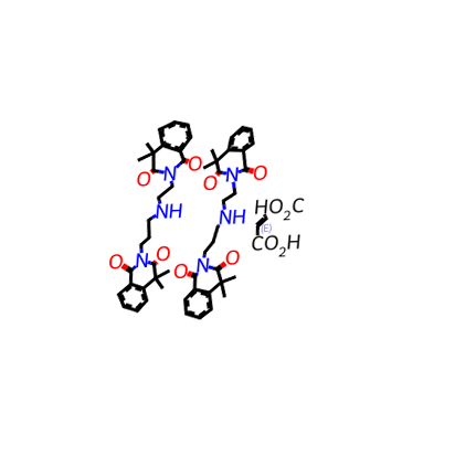 CC1(C)C(=O)N(CCCNCCN2C(=O)c3ccccc3C(C)(C)C2=O)C(=O)c2ccccc21.CC1(C)C(=O)N(CCCNCCN2C(=O)c3ccccc3C(C)(C)C2=O)C(=O)c2ccccc21.O=C(O)/C=C/C(=O)O